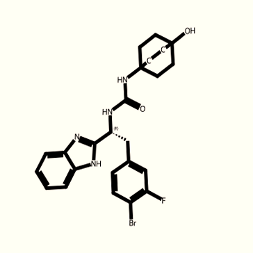 O=C(N[C@H](Cc1ccc(Br)c(F)c1)c1nc2ccccc2[nH]1)NC12CCC(O)(CC1)CC2